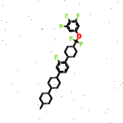 CC1CCC(C2CCC(c3ccc(C4CCC(C(F)(F)Oc5cc(F)c(F)c(F)c5)CC4)c(F)c3)CC2)CC1